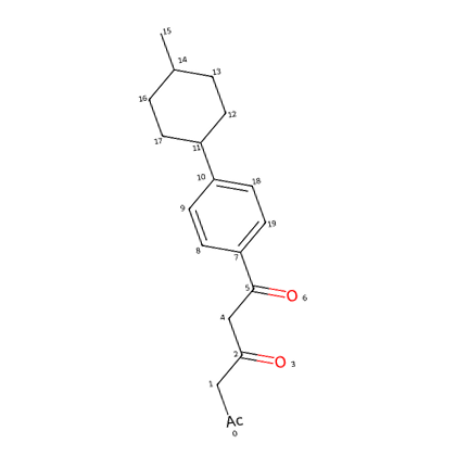 CC(=O)CC(=O)CC(=O)c1ccc(C2CCC(C)CC2)cc1